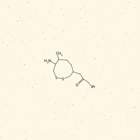 CC(C)CC(=O)CC1CCC(C)C(N)CSSC1